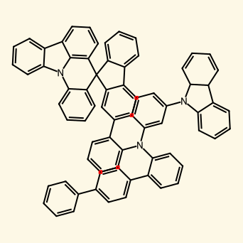 C1=CC2c3ccccc3N(c3cccc(N(c4ccccc4-c4ccc(-c5ccccc5)cc4)c4ccccc4-c4ccc5c(c4)C4(c6ccccc6-5)c5ccccc5-n5c6ccccc6c6cccc4c65)c3)C2C=C1